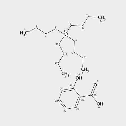 CCCC[N+](CCCC)(CCCC)CCCC.O=C(O)c1ccccc1O